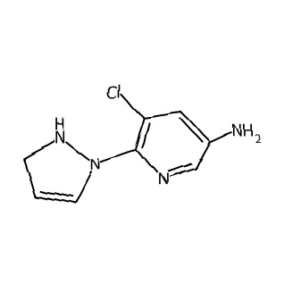 Nc1cnc(N2C=CCN2)c(Cl)c1